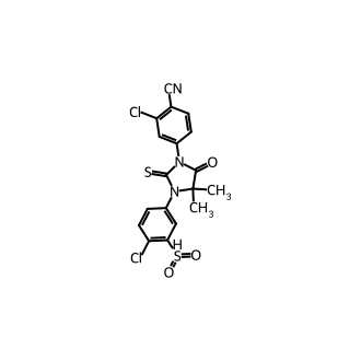 CC1(C)C(=O)N(c2ccc(C#N)c(Cl)c2)C(=S)N1c1ccc(Cl)c([SH](=O)=O)c1